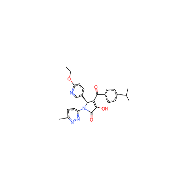 CCOc1ccc([C@H]2C(C(=O)c3ccc(C(C)C)cc3)=C(O)C(=O)N2c2ccc(C)nn2)cn1